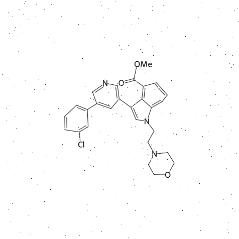 COC(=O)c1cccc2c1c(-c1cncc(-c3cccc(Cl)c3)c1)cn2CCN1CCOCC1